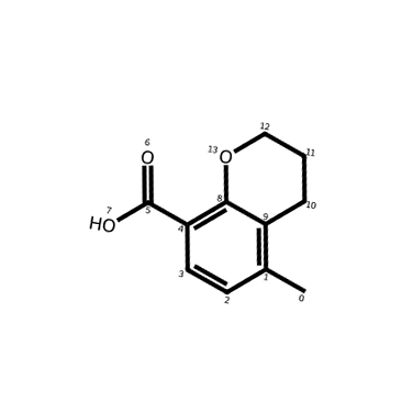 Cc1ccc(C(=O)O)c2c1CCCO2